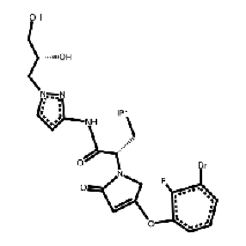 CC(C)C[C@@H](C(=O)Nc1ccn(C[C@@H](O)CO)n1)N1CC(Oc2cccc(Br)c2F)=CC1=O